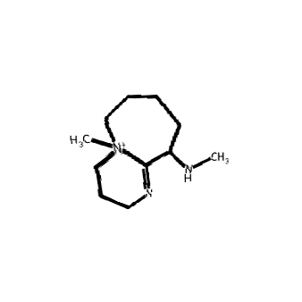 CNC1CCCC[N+]2(C)CCCN=C12